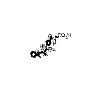 CCC(C)[C@H](Nc1ccc(C(=O)NCCC(=O)O)cc1)c1nnc(-c2oc3ccccc3c2C)o1